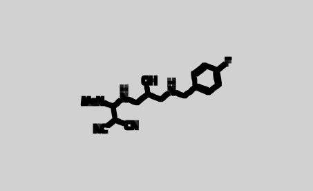 CNC(NCC(O)CNCc1ccc(F)cc1)C(C#N)C#N